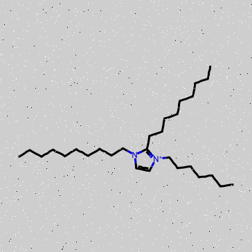 CCCCCCCCCCn1cc[n+](CCCCCCC)c1CCCCCCCCC